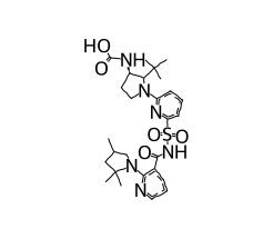 CC1CN(c2ncccc2C(=O)NS(=O)(=O)c2cccc(N3CC[C@@H](NC(=O)O)C3C(C)(C)C)n2)C(C)(C)C1